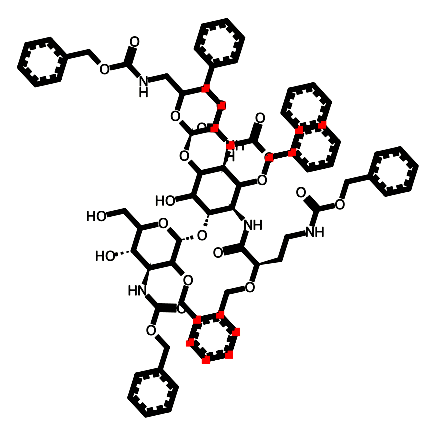 O=C(NCC[C@@H](OCc1ccccc1)C(=O)N[C@@H]1C(OCc2ccccc2)[C@H](NC(=O)OCc2ccccc2)C(O[C@H]2OC(CNC(=O)OCc3ccccc3)CCC2NC(=O)OCc2ccccc2)C(O)[C@H]1O[C@H]1OC(CO)[C@@H](O)[C@H](NC(=O)OCc2ccccc2)C1OCc1ccccc1)OCc1ccccc1